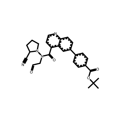 CC(C)(C)OC(=O)c1ccc(-c2ccc3nccc(C(=O)N(CC=O)N4CCCC4C#N)c3c2)cc1